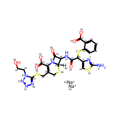 Nc1nc(C(Sc2ccccc2C(=O)[O-])C(=O)NC2C(=O)N3C(C(=O)[O-])=C(CSc4nnnn4CCO)CS[C@@H]23)cs1.[Na+].[Na+]